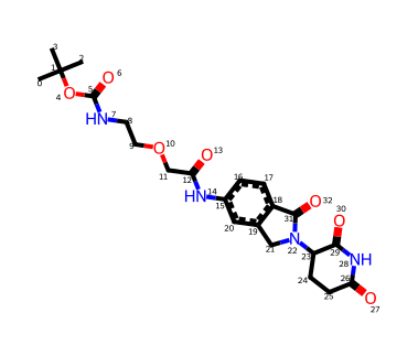 CC(C)(C)OC(=O)NCCOCC(=O)Nc1ccc2c(c1)CN(C1CCC(=O)NC1=O)C2=O